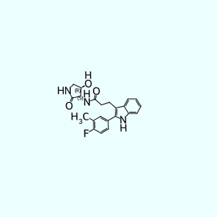 Cc1cc(-c2[nH]c3ccccc3c2CCC(=O)N[C@@H]2C(=O)NC[C@H]2O)ccc1F